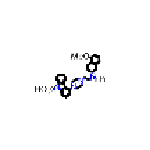 CCCN(CCN1CCN(c2cccc3c2c2ccccc2n3C(=O)O)CC1)C1CCc2c(cccc2OC)C1